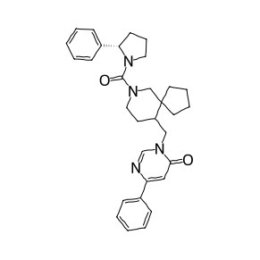 O=C(N1CCC(Cn2cnc(-c3ccccc3)cc2=O)C2(CCCC2)C1)N1CCC[C@H]1c1ccccc1